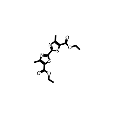 CCOC(=O)c1sc(-c2nc(C)c(C(=O)OCC)s2)nc1C